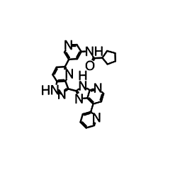 O=C(Nc1cncc(-c2ccc3[nH]nc(-c4nc5c(-c6ccccn6)ccnc5[nH]4)c3n2)c1)C1CCCC1